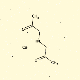 CC(=O)CNCC(C)=O.[Cu]